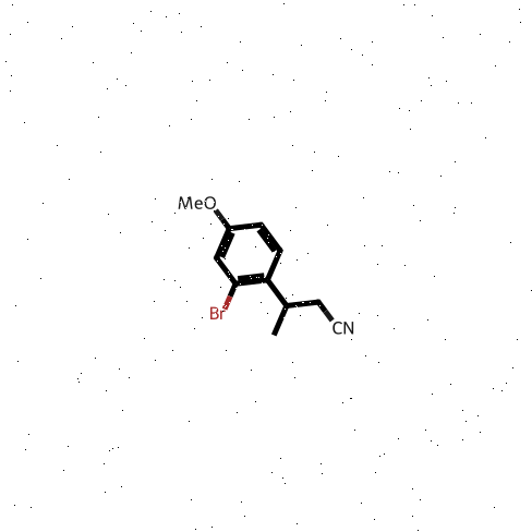 COc1ccc(C(C)CC#N)c(Br)c1